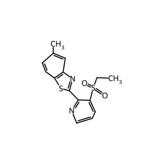 CCS(=O)(=O)c1cccnc1-c1nc2cc(C)ccc2s1